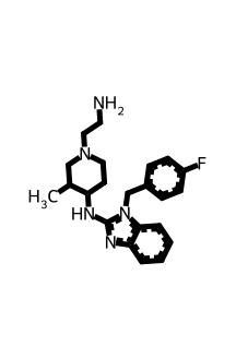 CC1CN(CCN)CCC1Nc1nc2ccccc2n1Cc1ccc(F)cc1